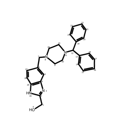 OCc1nc2cc(CN3CCN(C(c4ccccc4)c4ccccc4)CC3)ccc2[nH]1